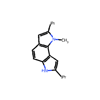 CC(C)c1cc2c(ccc3cc(C(C)C)n(C)c32)[nH]1